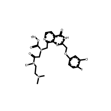 CCN(CCN(C)C)C(=O)CN(Cc1nccc2c(=O)[nH]c(COc3ccc(F)c(Cl)c3)nc12)C(=O)OC(C)(C)C